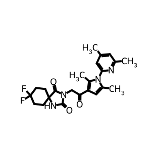 Cc1cc(C)nc(-n2c(C)cc(C(=O)CN3C(=O)NC4(CCC(F)(F)CC4)C3=O)c2C)c1